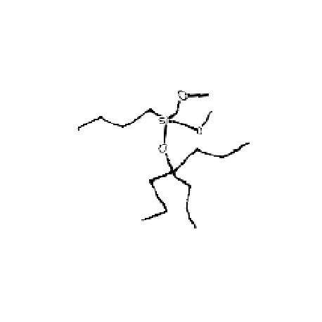 CCCC[Si](OC)(OC)OC(CCC)(CCC)CCC